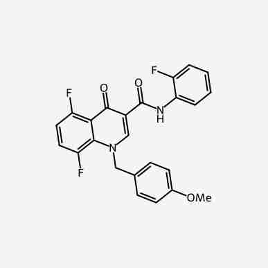 COc1ccc(Cn2cc(C(=O)Nc3ccccc3F)c(=O)c3c(F)ccc(F)c32)cc1